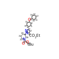 CCOC(=O)c1cc(-c2ccc(Oc3ccccc3)cc2)nn1C1CCCN(C(=O)OC(C)(C)C)C1